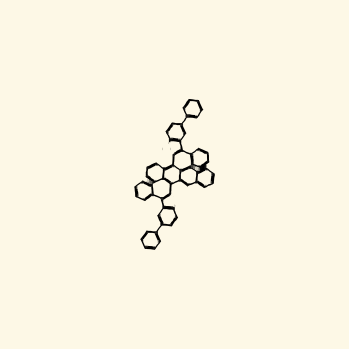 c1ccc(-c2ccc3oc(-c4c5ccccc5c(-c5oc6ccc(-c7ccccc7)cc6c5-c5ccccc5)c5cc6ccccc6cc45)c(-c4ccccc4)c3c2)cc1